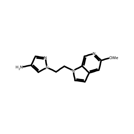 COc1cc2ccn(CCn3cc(N)cn3)c2cn1